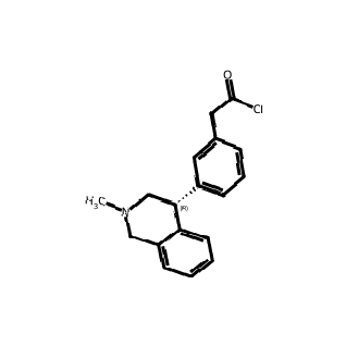 CN1Cc2ccccc2[C@@H](c2cccc(CC(=O)Cl)c2)C1